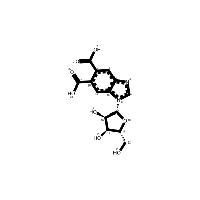 O=C(O)c1cc2ncn([C@@H]3O[C@H](CO)[C@@H](O)[C@H]3O)c2cc1C(=O)O